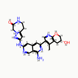 Cc1c(-c2cc3cc(Nc4cc5n(n4)CC(=O)NCC5)ncc3c(N)n2)cnc2c1C[C@@H](O)CO2